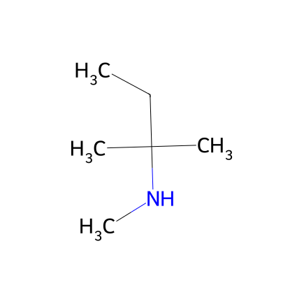 CCC(C)(C)NC